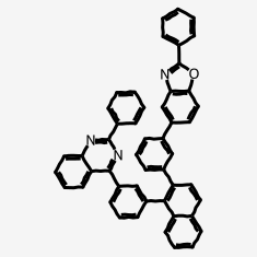 c1ccc(-c2nc(-c3cccc(-c4c(-c5cccc(-c6ccc7oc(-c8ccccc8)nc7c6)c5)ccc5ccccc45)c3)c3ccccc3n2)cc1